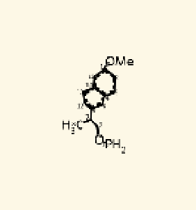 COc1ccc2cc(C(C)COP)ccc2c1